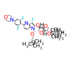 CC(C)(C)[Si](C)(C)OC1CO[C@H]2[C@@H]1OC[C@H]2Oc1c(F)c2nc(-c3c(F)cc(N4CCOCC4)cc3F)ccc2n1COCC[Si](C)(C)C